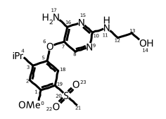 COc1cc(C(C)C)c(Oc2cnc(NCCO)nc2N)cc1S(C)(=O)=O